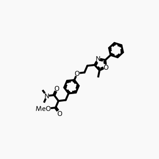 COC(=O)C(Cc1ccc(OCCc2nc(-c3ccccc3)oc2C)cc1)C(=O)N(C)C